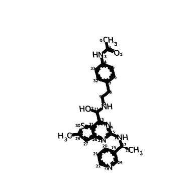 CC(=O)Nc1ccc(CCNC(O)c2nc(N[C@@H](C)c3cccnc3)nc3cc(C)sc23)cc1